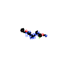 CN(C)CCOc1cc(F)cc(-c2nccc3[nH]c(-c4n[nH]c5cnc(-c6cncc(NC(=O)Cc7ccccc7)c6)cc45)nc23)c1